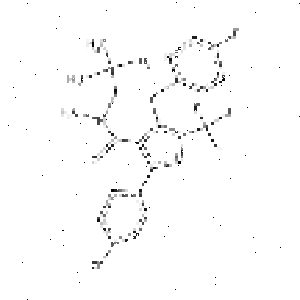 CN(CC(C)(C)C)C(=O)c1c(-c2ccc(Cl)cc2)cc(C(F)(F)F)n1Cc1ccc(F)cn1